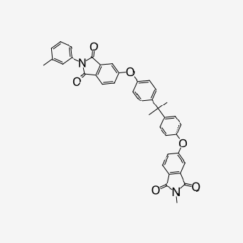 Cc1cccc(N2C(=O)c3ccc(Oc4ccc(C(C)(C)c5ccc(Oc6ccc7c(c6)C(=O)N(C)C7=O)cc5)cc4)cc3C2=O)c1